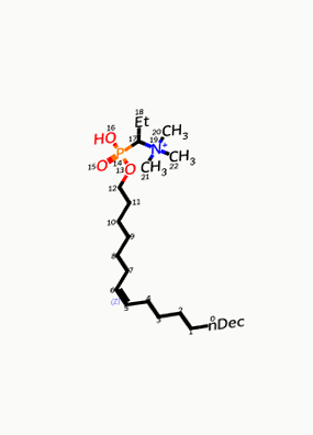 CCCCCCCCCCCCCC/C=C\CCCCCCOP(=O)(O)C(CC)[N+](C)(C)C